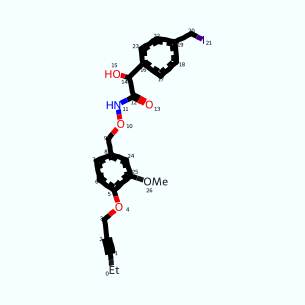 CCC#CCOc1ccc(CONC(=O)C(O)c2ccc(CI)cc2)cc1OC